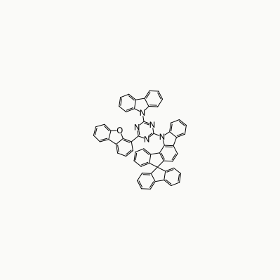 c1ccc2c(c1)-c1ccccc1C21c2ccccc2-c2c1ccc1c3ccccc3n(-c3nc(-c4cccc5c4oc4ccccc45)nc(-n4c5ccccc5c5ccccc54)n3)c21